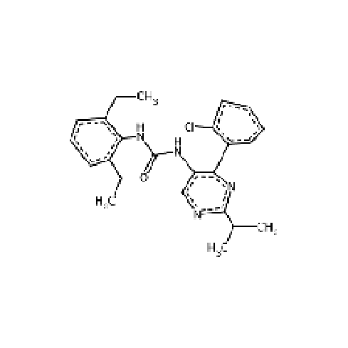 CCc1cccc(CC)c1NC(=O)Nc1cnc(C(C)C)nc1-c1ccccc1Cl